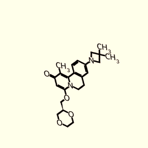 Cc1c2n(c(OC[C@@H]3COCCO3)cc1=O)CCc1cc(N3CC(C)(C)C3)ccc1-2